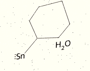 O.[Sn][CH]1CCCCC1